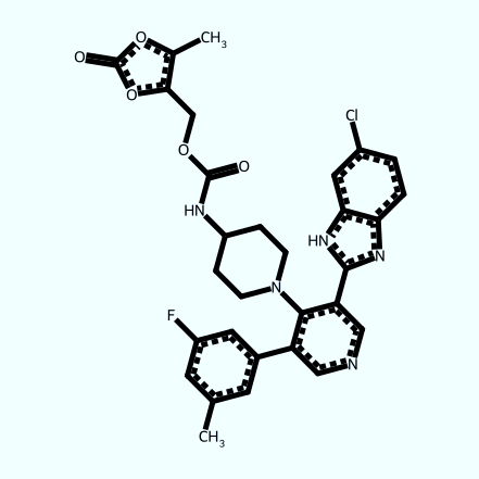 Cc1cc(F)cc(-c2cncc(-c3nc4ccc(Cl)cc4[nH]3)c2N2CCC(NC(=O)OCc3oc(=O)oc3C)CC2)c1